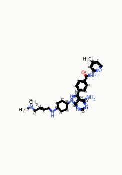 Cc1ccnc(NC(=O)c2ccc(-c3nn(C4CCC(NC/C=C/CN(C)C)CC4)c4ncnc(N)c34)cc2)c1